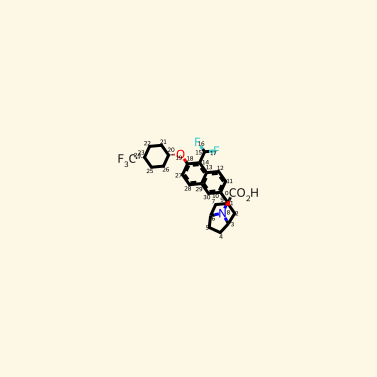 O=C(O)C1CC2CCC(C1)N2Cc1ccc2c(C(F)F)c(O[C@H]3CC[C@@H](C(F)(F)F)CC3)ccc2c1